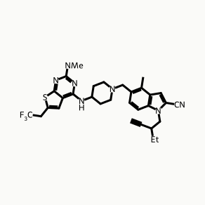 C#CC(CC)Cn1c(C#N)cc2c(C)c(CN3CCC(Nc4nc(NC)nc5sc(CC(F)(F)F)cc45)CC3)ccc21